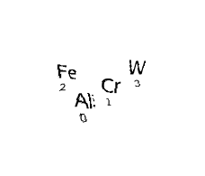 [Al].[Cr].[Fe].[W]